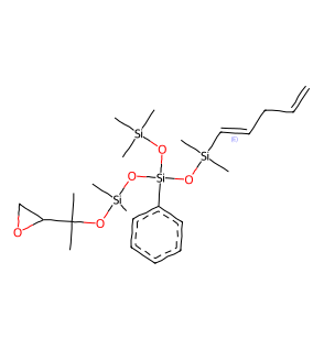 C=CC/C=C/[Si](C)(C)O[Si](O[Si](C)(C)C)(O[Si](C)(C)OC(C)(C)C1CO1)c1ccccc1